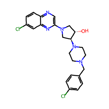 O[C@H]1CN(c2cnc3ccc(Cl)cc3n2)C[C@@H]1N1CCN(Cc2ccc(Cl)cc2)CC1